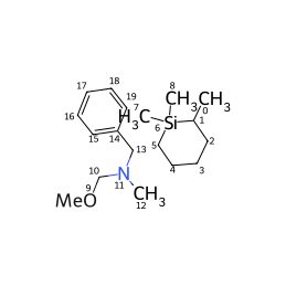 CC1CCCC[Si]1(C)C.COCN(C)Cc1ccccc1